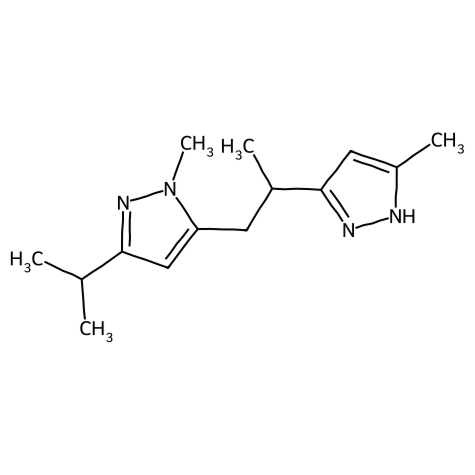 Cc1cc(C(C)Cc2cc(C(C)C)nn2C)n[nH]1